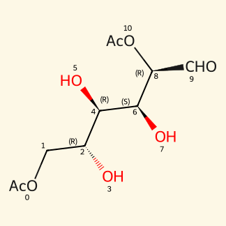 CC(=O)OC[C@@H](O)[C@@H](O)[C@H](O)[C@H](C=O)OC(C)=O